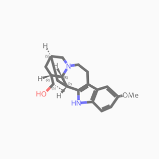 COc1ccc2[nH]c3c(c2c1)CCN1C[C@@H]2C[C@@H]([C@H](C)O)[C@H]1[C@H]3C2